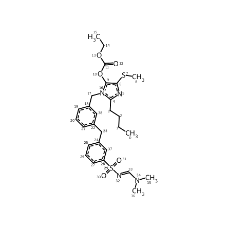 CCCCc1nc(SC)c(OC(=O)OCC)n1Cc1cccc(Cc2cccc(S(=O)(=O)N=CN(C)C)c2)c1